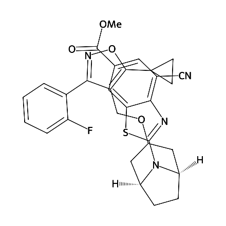 COC(=O)c1cc(C#N)c2nc(N3[C@@H]4CC[C@H]3CC(OCc3c(-c5ccccc5F)noc3C3CC3)C4)sc2c1